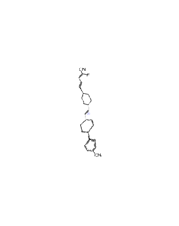 N#CC(F)=CC=C[C@H]1CC[C@H](/C=C/[C@H]2CC[C@H](c3ccc(C#N)cc3)CC2)CC1